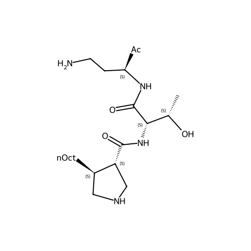 CCCCCCCC[C@@H]1CNC[C@H]1C(=O)N[C@H](C(=O)N[C@@H](CCN)C(C)=O)[C@H](C)O